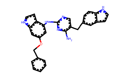 Nc1nc(Nc2cc(OCc3ccccc3)cc3[nH]ccc23)ncc1Cc1ccc2[nH]ccc2c1